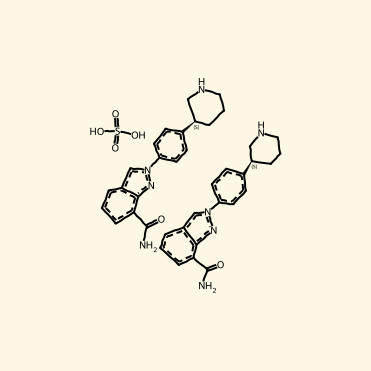 NC(=O)c1cccc2cn(-c3ccc([C@@H]4CCCNC4)cc3)nc12.NC(=O)c1cccc2cn(-c3ccc([C@@H]4CCCNC4)cc3)nc12.O=S(=O)(O)O